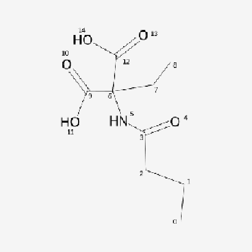 CCCC(=O)NC(CC)(C(=O)O)C(=O)O